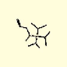 C=CCN(C)[Si](C(C)C)(C(C)C)C(C)C